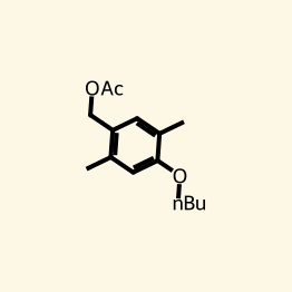 CCCCOc1cc(C)c(COC(C)=O)cc1C